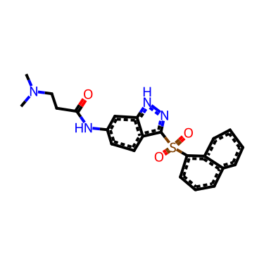 CN(C)CCC(=O)Nc1ccc2c(S(=O)(=O)c3cccc4ccccc34)n[nH]c2c1